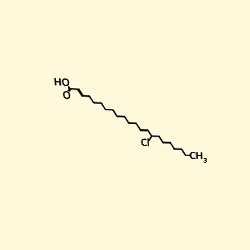 CCCCCCCC(Cl)C=CCCCCCCCCCC=CC(=O)O